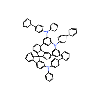 C1=CCCC(N(c2ccc(-c3ccccc3)cc2)c2cc(-c3cccc4c3-c3ccccc3C43c4ccccc4-c4ccc(N(c5ccccc5)c5ccc(-c6ccccc6)cc5)cc43)cc(N(C3=CCC(C4C=CC=CC4)C=C3)c3ccccc3)c2)=C1